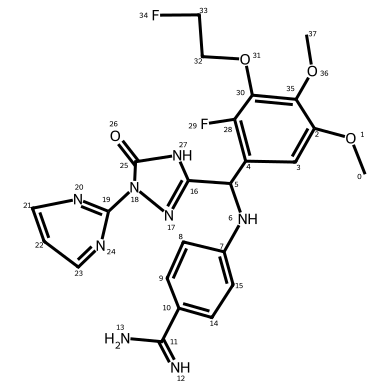 COc1cc(C(Nc2ccc(C(=N)N)cc2)c2nn(-c3ncccn3)c(=O)[nH]2)c(F)c(OCCF)c1OC